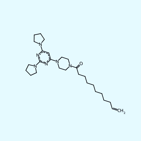 C=CCCCCCCCCC(=O)N1CCN(c2cc(N3CCCC3)nc(N3CCCC3)n2)CC1